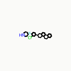 C1=CC=CNC=C1.Fc1ccc(C2CCc3c(ccc4c3CCc3ccccc3-4)C2)cc1Cl